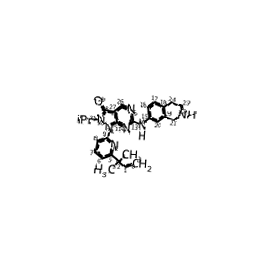 C=CC(C)(C)c1cccc(-n2c3nc(Nc4ccc5c(c4)CNCC5)ncc3c(=O)n2C(C)C)n1